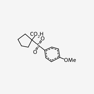 COc1ccc(S(=O)(=O)C2(C(=O)O)CCCC2)cc1